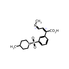 C/N=C\C=C(\C(=O)O)c1cccc(S(=O)(=O)N2CCC(C)CC2)c1